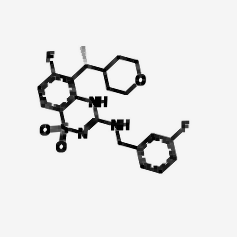 C[C@@H](c1c(F)ccc2c1NC(NCc1cccc(F)c1)=NS2(=O)=O)C1CCOCC1